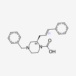 O=C(O)N1CCN(Cc2ccccc2)C[C@H]1C/C=C/c1ccccc1